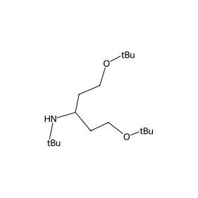 CC(C)(C)NC(CCOC(C)(C)C)CCOC(C)(C)C